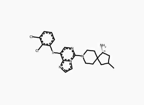 CC1C[C@@H](N)C2(CCN(c3ncc(Sc4cccc(Cl)c4Cl)c4nccn34)CC2)C1